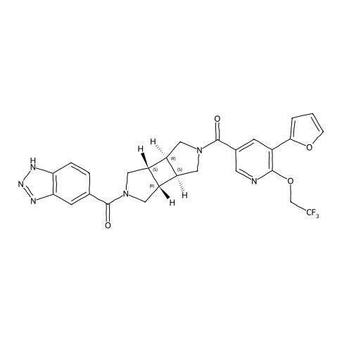 O=C(c1cnc(OCC(F)(F)F)c(-c2ccco2)c1)N1C[C@@H]2[C@H](C1)[C@H]1CN(C(=O)c3ccc4[nH]nnc4c3)C[C@@H]21